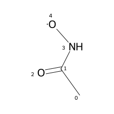 CC(=O)N[O]